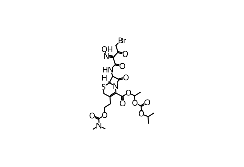 CC(C)OC(=O)OC(C)OC(=O)C1=C(CCOC(=O)N(C)C)CS[C@H]2C(NC(=O)C(=NO)C(=O)CBr)C(=O)N12